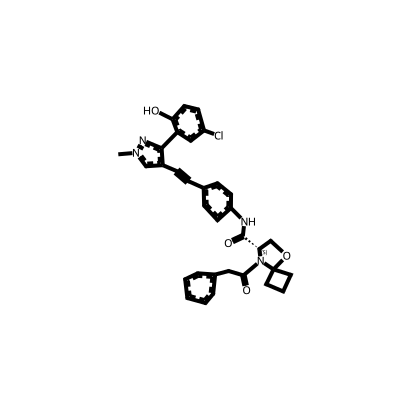 Cn1cc(C#Cc2ccc(NC(=O)[C@@H]3COC4(CCC4)N3C(=O)Cc3ccccc3)cc2)c(-c2cc(Cl)ccc2O)n1